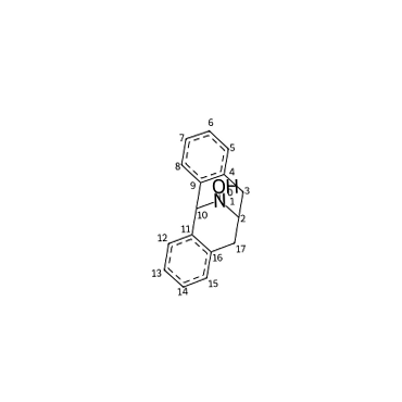 ON1C2Cc3ccccc3C1c1ccccc1C2